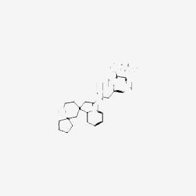 COc1cncc(CNCCC2(C3CC=CC=N3)CCOC3(CCCC3)C2)n1